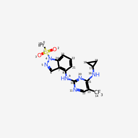 CC(C)S(=O)(=O)n1ncc2c(Nc3ncc(C(F)(F)F)c(NC4CC4)n3)cccc21